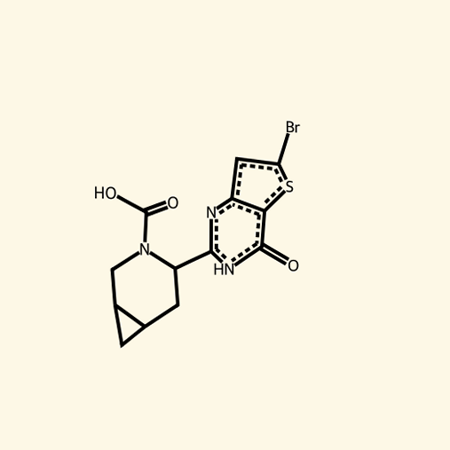 O=C(O)N1CC2CC2CC1c1nc2cc(Br)sc2c(=O)[nH]1